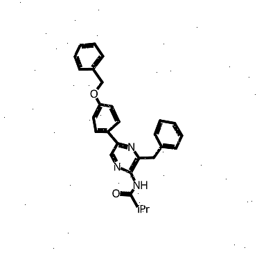 CC(C)C(=O)Nc1ncc(-c2ccc(OCc3ccccc3)cc2)nc1Cc1ccccc1